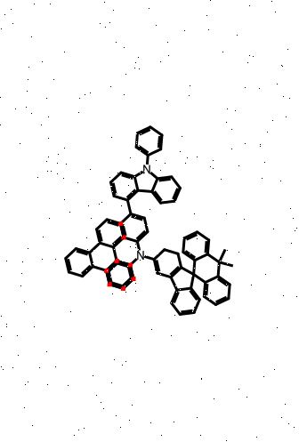 CC1(C)c2ccccc2C2(C3=C(C=C(N(c4ccc(-c5cccc6c5c5ccccc5n6-c5ccccc5)cc4)c4ccccc4-c4ccccc4-c4ccccc4-c4ccccc4)CC3)c3ccccc32)c2ccccc21